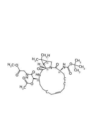 COC(=O)CNC(=O)C(OC(C)=O)[C@@H]1CCCCC=CCCCC[C@H](NC(=O)OC(C)(C)C)C(=O)N2C[C@H]3[C@@H]([C@H]2C(=O)N1)C3(C)C